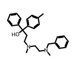 Cc1ccc(C(O)(CCN(C)CCN(C)Cc2ccccc2)c2ccccc2)cc1